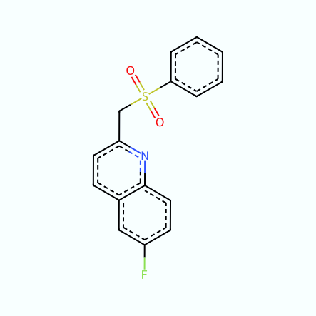 O=S(=O)(Cc1ccc2cc(F)ccc2n1)c1ccccc1